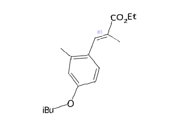 CCOC(=O)/C(C)=C/c1ccc(OC(C)CC)cc1C